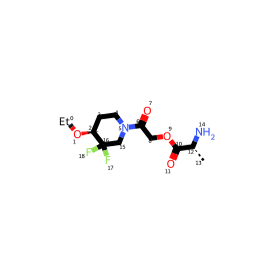 CCO[C@H]1CCN(C(=O)COC(=O)[C@@H](C)N)CC1(F)F